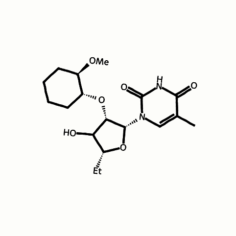 CC[C@H]1O[C@@H](n2cc(C)c(=O)[nH]c2=O)[C@@H](O[C@@H]2CCCC[C@H]2OC)C1O